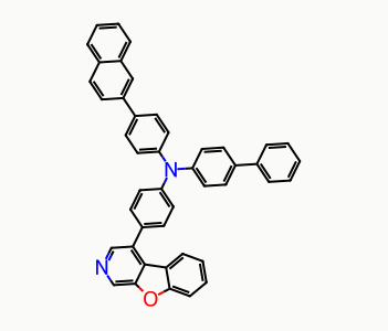 c1ccc(-c2ccc(N(c3ccc(-c4ccc5ccccc5c4)cc3)c3ccc(-c4cncc5oc6ccccc6c45)cc3)cc2)cc1